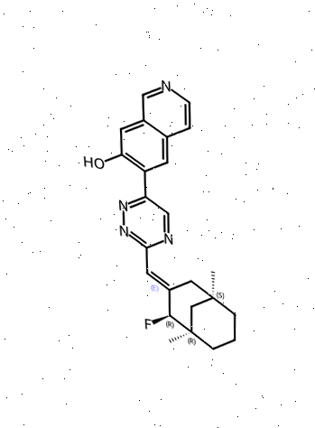 C[C@]12CCC[C@](C)(C1)[C@@H](F)/C(=C/c1ncc(-c3cc4ccncc4cc3O)nn1)C2